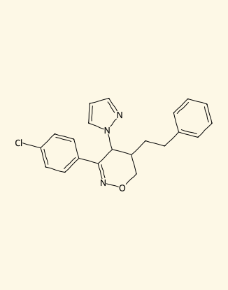 Clc1ccc(C2=NOCC(CCc3ccccc3)C2n2cccn2)cc1